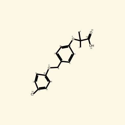 CC(C)(Oc1ccc(COc2ccc(Cl)cc2)cc1)C(=O)O